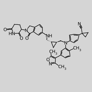 Cc1ccc(-c2c(C)noc2C)cc1N(C[C@H]1C[C@@H]1CNc1ccc2c(c1)C(=O)N(C1CCC(=O)NC1=O)C2)c1ccc(C2(C#N)CC2)cc1